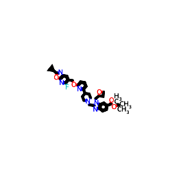 CC(C)(C)OC(=O)c1ccc2nc(CN3CCC(c4cccc(OCc5cc6nc(C7CC7)oc6nc5F)n4)CC3)n(CC3CCO3)c2c1